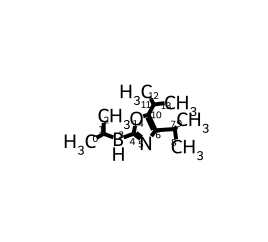 CC(C)Bc1nc(C(C)C)c(C(C)C)o1